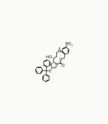 CN(C)CC[C@@H](O)[C@@H]1C[C@H](SC(c2ccccc2)(c2ccccc2)c2ccccc2)CN1C(=O)OCc1ccc([N+](=O)[O-])cc1